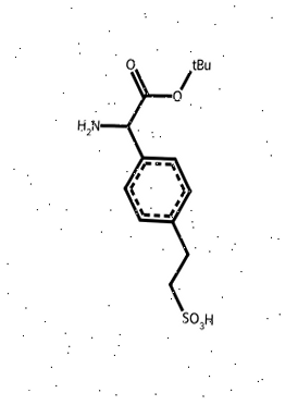 CC(C)(C)OC(=O)C(N)c1ccc(CCS(=O)(=O)O)cc1